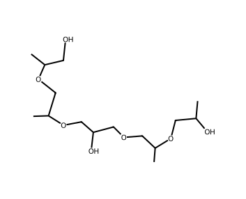 CC(O)COC(C)COCC(O)COC(C)COC(C)CO